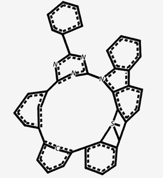 CS1(C)c2c3cccc2-c2ccc4c5ccccc5n(c4c21)-c1nc(-c2ccccc2)nc(n1)-c1cccc(c1)-c1cccc-3c1